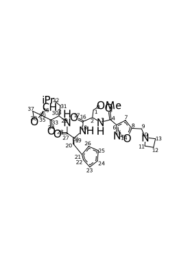 COCC(NC(=O)c1cc(CN2CCC2)on1)C(=O)N[C@@H](Cc1ccccc1)C(=O)NC(CC(C)C)C(=O)[C@@]1(C)CO1